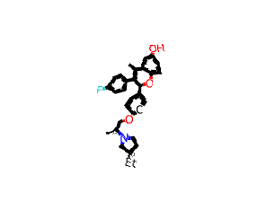 CC[C@@H]1CCN([C@@H](C)COc2ccc(C3Oc4ccc(O)cc4C(C)=C3c3ccc(F)cc3)cc2)C1